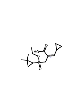 CCOP(=O)(C/C(=C/C1CC1)C(=O)O)C1CC1(C)C